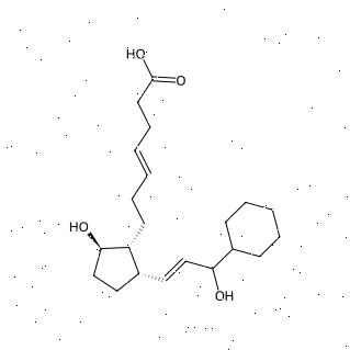 O=C(O)CCC=CCC[C@H]1[C@H](O)CC[C@H]1C=CC(O)C1CCCCC1